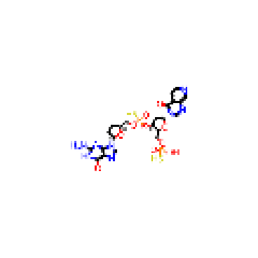 Nc1nc2c(ncn2[C@H]2CC[C@@H](COP(=O)(S)O[C@H]3C[C@H](n4cnc5cnccc5c4=O)OC3COP(=O)(O)S)O2)c(=O)[nH]1